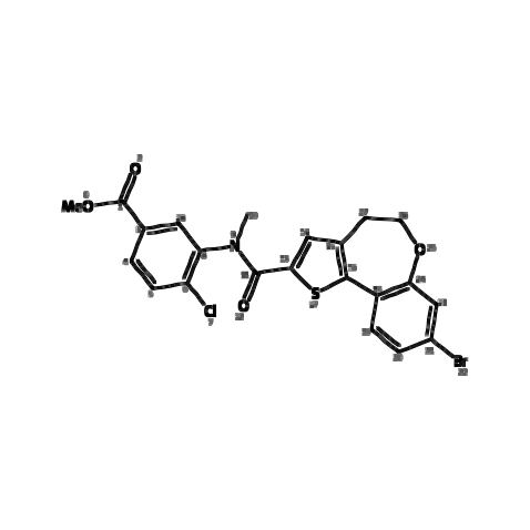 COC(=O)c1ccc(Cl)c(N(C)C(=O)c2cc3c(s2)-c2ccc(Br)cc2OCC3)c1